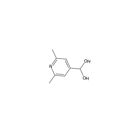 Cc1cc(C(O)O)cc(C)n1